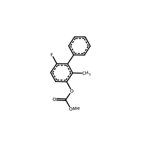 COC(=O)Oc1ccc(F)c(-c2ccccc2)c1C